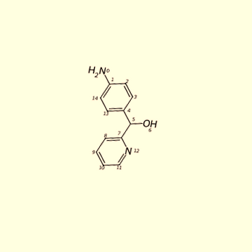 Nc1ccc(C(O)c2ccccn2)cc1